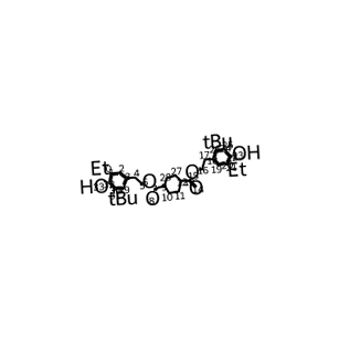 CCc1cc(CCOC(=O)C2CCC(C(=O)OCCc3cc(CC)c(O)c(C(C)(C)C)c3)CC2)cc(C(C)(C)C)c1O